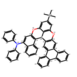 C[Si](C)(C)c1cc2c3c(c1)Oc1cc(N(c4ccccc4)c4ccccc4)c4ccccc4c1B3c1cc3c4ccccc4c4ccccc4c3cc1O2